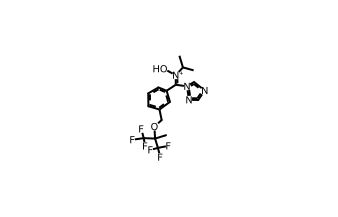 CC(C)[N+](O)=C(c1cccc(COC(C)(C(F)(F)F)C(F)(F)F)c1)n1cncn1